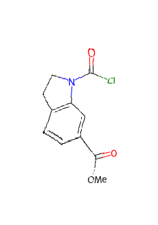 COC(=O)c1ccc2c(c1)N(C(=O)Cl)CC2